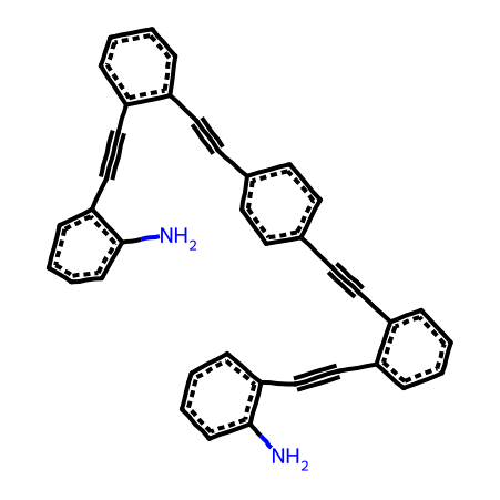 Nc1ccccc1C#Cc1ccccc1C#Cc1ccc(C#Cc2ccccc2C#Cc2ccccc2N)cc1